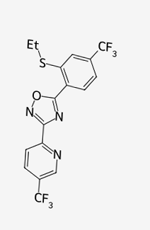 CCSc1cc(C(F)(F)F)ccc1-c1nc(-c2ccc(C(F)(F)F)cn2)no1